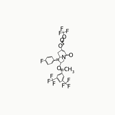 C[C@@H](OC1CN2C(=O)C=C(OSOOC(F)(F)F)CC2[C@@H]1c1ccc(F)cc1)c1cc(C(F)(F)F)cc(C(F)(F)F)c1